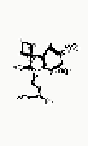 CC(C)N(CCOC(=O)C1(c2cccc([N+](=O)[O-])c2)CCC1)C(C)C.Cl